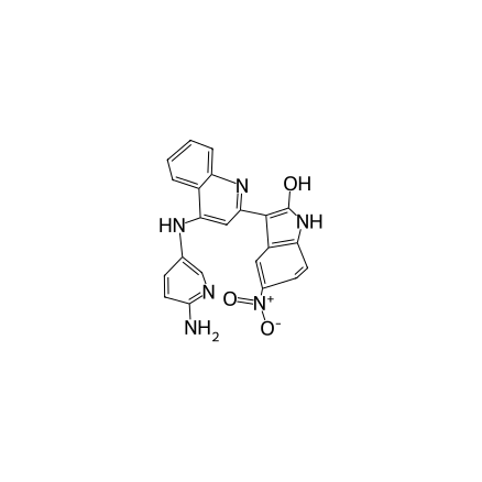 Nc1ccc(Nc2cc(-c3c(O)[nH]c4ccc([N+](=O)[O-])cc34)nc3ccccc23)cn1